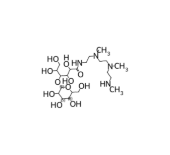 CNCCN(C)CCN(C)CCNC(=O)C(O)C(O)C(O[C@@H]1OC(CO)[C@H](O)[C@H](O)C1O)C(O)CO